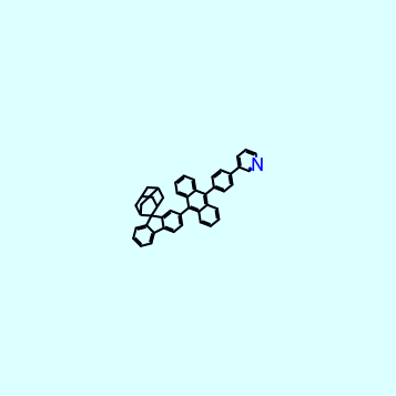 c1cncc(-c2ccc(-c3c4ccccc4c(-c4ccc5c(c4)C4(c6ccccc6-5)C5CC6CC(C5)CC4C6)c4ccccc34)cc2)c1